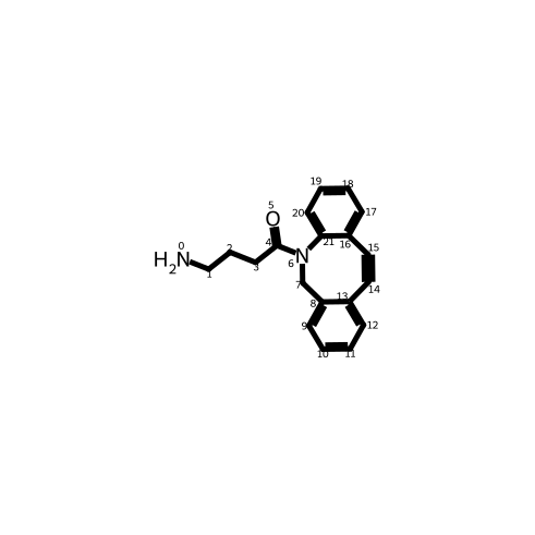 NCCCC(=O)N1Cc2ccccc2C#Cc2ccccc21